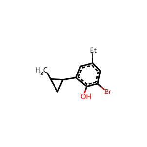 CCc1cc(Br)c(O)c(C2CC2C)c1